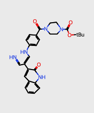 CC(C)(C)OC(=O)N1CCN(C(=O)c2ccc(N/C=C(\C=N)c3cc4ccccc4[nH]c3=O)cc2)CC1